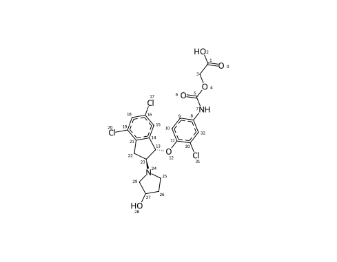 O=C(O)COC(=O)Nc1ccc(O[C@H]2c3cc(Cl)cc(Cl)c3C[C@@H]2N2CCC(O)C2)c(Cl)c1